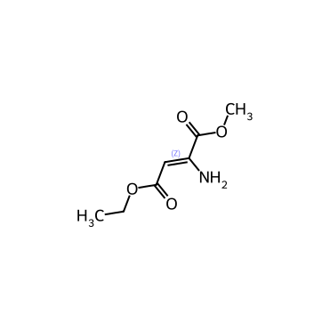 CCOC(=O)/C=C(\N)C(=O)OC